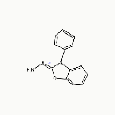 N/N=c1\oc2ccccc2n1-c1ccccc1